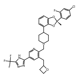 C[C@]1(c2ccc(Cl)cc2F)Oc2cccc(C3CCN(Cc4ncc(-c5nnc(C(F)(F)F)[nH]5)cc4CC4CCO4)CC3)c2O1